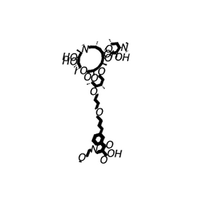 COCCn1cc(C(=O)O)c(=O)c2cc(CC=CCOCCCCO[C@H]3[C@H](C)O[C@@H](OC4[C@@H](C)C(=O)O[C@H](I)[C@@](C)(O)[C@H](O)[C@@H](C)N(C)C[C@H](C)C[C@@](C)(O)[C@H](O[C@@H]5O[C@H](C)C[C@H](N(C)C)C5O)[C@H]4C)C[C@@H]3C)ccc21